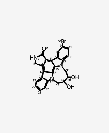 O=C1NCc2c1c1c3cc(Br)ccc3n3c1c1c2c2ccccc2n1CC(O)C(O)C3